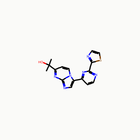 CC(C)(O)c1ccn2c(-c3ccnc(-c4nccs4)n3)cnc2n1